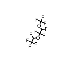 FC(OC(F)(F)C(F)OC(F)(F)F)C(F)(F)F